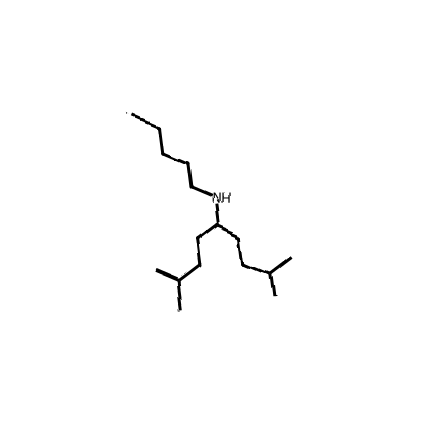 [CH2]CCCCNC(CCC(C)C)CCC(C)C